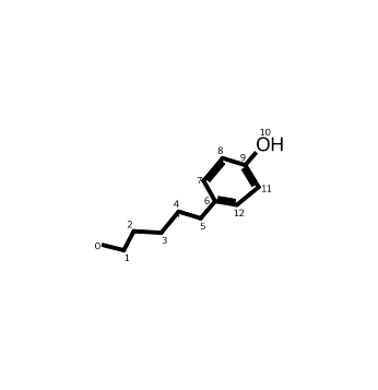 CCCC[CH]Cc1ccc(O)cc1